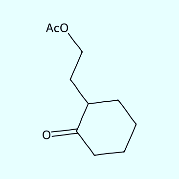 CC(=O)OCCC1CCCCC1=O